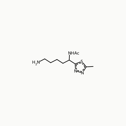 CC(=O)NC(CCCCN)c1nnc(C)s1